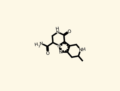 CC1Cc2nn3c(c2CN1)C(=O)NCC3C(N)=O